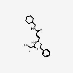 C[C@H](N)C(=O)N[C@H](/C=C/C(=O)NCC1CCCCC1)CCc1ccccc1